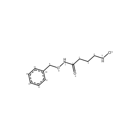 O=C(CCCNCl)NOCc1ccccc1